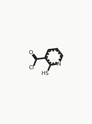 O=C(Cl)c1cccnc1S